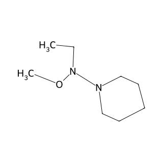 CCN(OC)N1CCCCC1